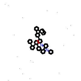 c1ccc(-c2ccccc2-c2ccccc2-c2ccccc2N(c2ccc(-c3ccc4c(c3)C3(c5ccccc5-4)C4CC5CC(C4)CC3C5)cc2)c2cccc3c2c2ccccc2n3-c2ccccc2)cc1